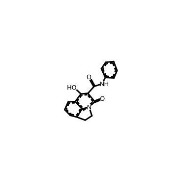 O=C(Nc1ccccc1)c1c(O)c2cccc3c2n(c1=O)CC3